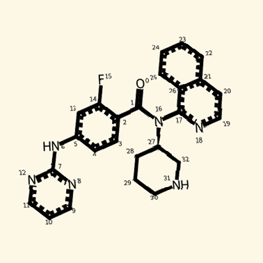 O=C(c1ccc(Nc2ncccn2)cc1F)N(c1nccc2ccccc12)[C@@H]1CCCNC1